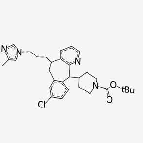 Cc1cn(CCCC2Cc3cc(Cl)ccc3C(C3CCN(C(=O)OC(C)(C)C)CC3)c3ncccc32)cn1